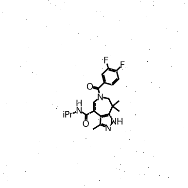 Cc1n[nH]c2c1C(C(=O)NC(C)C)=CN(C(=O)c1ccc(F)c(F)c1)CC2(C)C